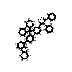 c1ccc(-c2nnc(-c3ccc4c(c3)C3(c5ccccc5-c5ccccc53)c3cc(-c5cccc6c5sc5ccccc56)ccc3-4)n2-c2ccccc2)cc1